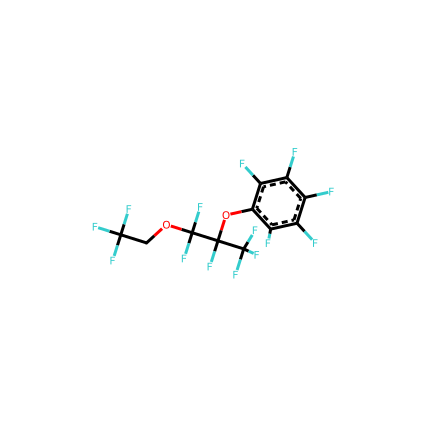 Fc1c(F)c(F)c(OC(F)(C(F)(F)F)C(F)(F)OCC(F)(F)F)c(F)c1F